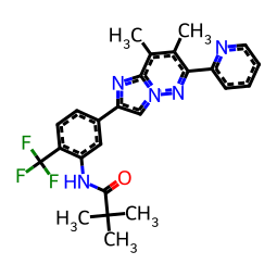 Cc1c(-c2ccccn2)nn2cc(-c3ccc(C(F)(F)F)c(NC(=O)C(C)(C)C)c3)nc2c1C